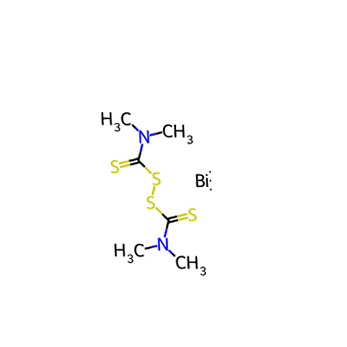 CN(C)C(=S)SSC(=S)N(C)C.[Bi]